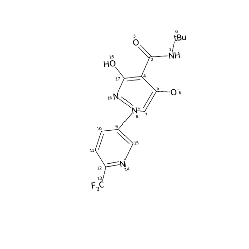 CC(C)(C)NC(=O)c1c([O-])c[n+](-c2ccc(C(F)(F)F)nc2)nc1O